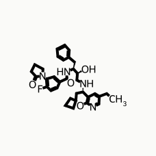 CCc1cnc2c(c1)[C@@H](NC[C@H](O)[C@H](Cc1ccccc1)NC(=O)c1ccc(F)c(N3CCCC3=O)c1)CC1(CCC1)O2